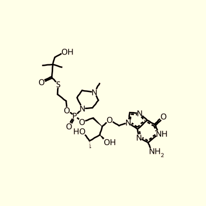 C[C@H](O)[C@H](O)[C@@H](COP(=O)(OCCSC(=O)C(C)(C)CO)N1CCN(C)CC1)OCn1cnc2c(=O)[nH]c(N)nc21